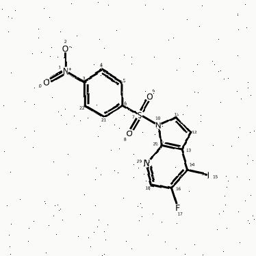 O=[N+]([O-])c1ccc(S(=O)(=O)n2ccc3c(I)c(F)cnc32)cc1